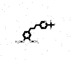 COc1ccc(C[CH]Cc2ccc(C(F)(F)F)nc2)cc1OC